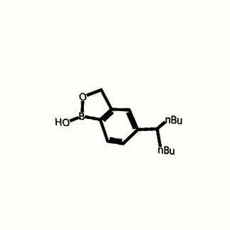 CCCCC(CCCC)c1ccc2c(c1)COB2O